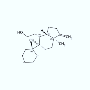 C=C1CC[C@H]2[C@@H](CCO)[C@@H]([C@]3(C)[CH]C[CH]CC3)CC[C@]12C